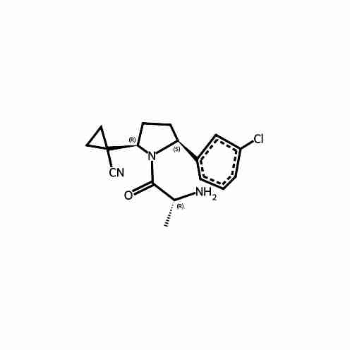 C[C@@H](N)C(=O)N1[C@H](c2cccc(Cl)c2)CC[C@@H]1C1(C#N)CC1